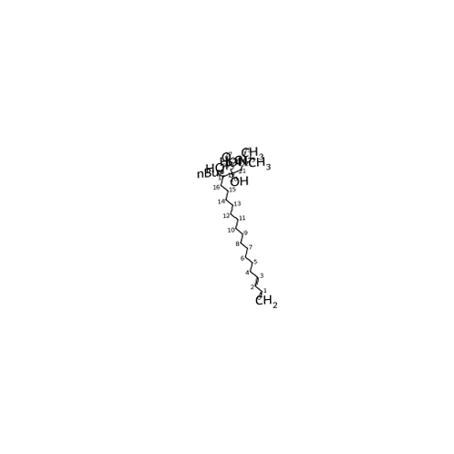 C=C/C=C/CCCCCCCCCCCCCC(CCCC)C(O)(C[N+](C)(C)C)P(=O)(O)O